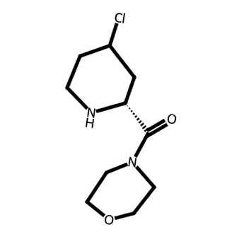 O=C([C@H]1CC(Cl)CCN1)N1CCOCC1